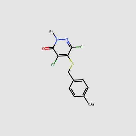 CCn1nc(Cl)c(SCc2ccc(C(C)(C)C)cc2)c(Cl)c1=O